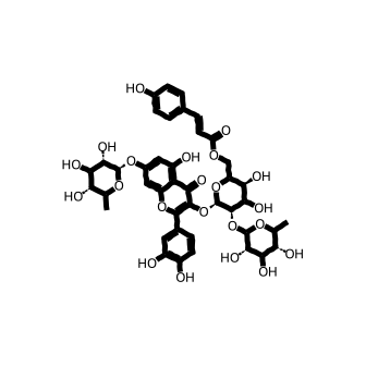 CC1OC(O[C@H]2C(O)[C@H](O)C(COC(=O)/C=C/c3ccc(O)cc3)O[C@H]2Oc2c(-c3ccc(O)c(O)c3)oc3cc(O[C@@H]4OC(C)[C@H](O)C(O)[C@@H]4O)cc(O)c3c2=O)[C@@H](O)C(O)[C@H]1O